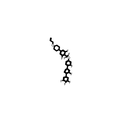 C=CCOC1CCC(c2cc(F)c(C(F)(F)Oc3ccc(-c4ccc(-c5cc(F)c(F)c(F)c5)c(F)c4)c(F)c3)c(F)c2)CC1